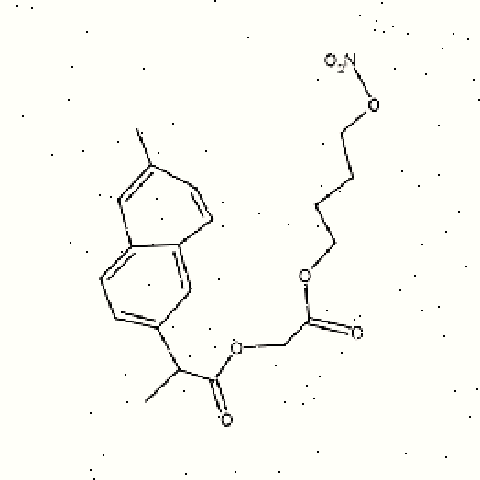 Cc1ccc2cc(C(C)C(=O)OCC(=O)OCCCCO[N+](=O)[O-])ccc2c1